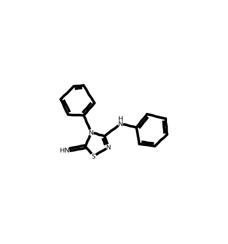 N=c1snc(Nc2ccccc2)n1-c1ccccc1